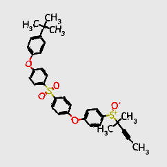 CC#CC(C)(C)[S+]([O-])c1ccc(Oc2ccc(S(=O)(=O)c3ccc(Oc4ccc(C(C)(C)C)cc4)cc3)cc2)cc1